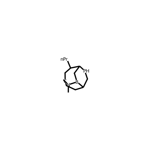 CCCC1CCCCC2CPC1CB2N(C)C